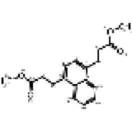 COC(=O)CCc1ccc(CCC(=O)OC)c2ccccc12